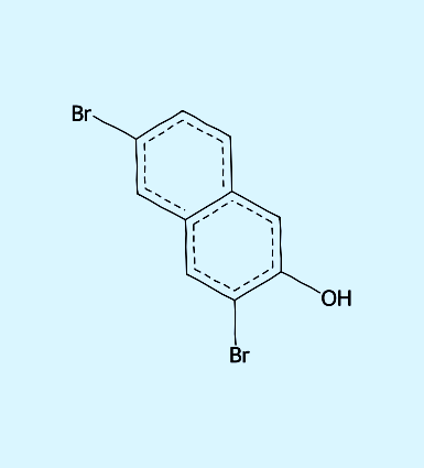 Oc1cc2ccc(Br)cc2cc1Br